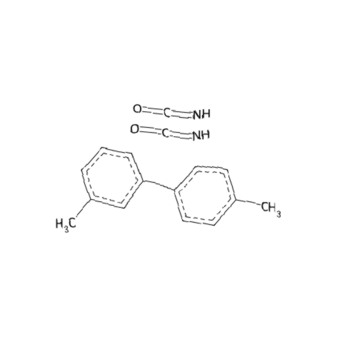 Cc1ccc(-c2cccc(C)c2)cc1.N=C=O.N=C=O